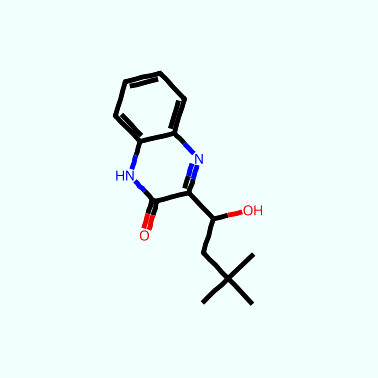 CC(C)(C)CC(O)c1nc2ccccc2[nH]c1=O